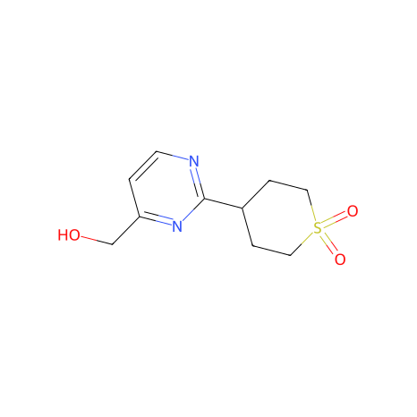 O=S1(=O)CCC(c2nccc(CO)n2)CC1